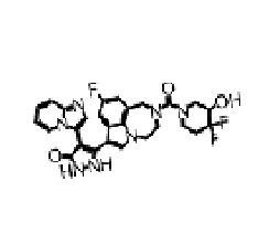 O=C(N1CCn2cc(-c3[nH][nH]c(=O)c3-c3cnc4ccccn34)c3cc(F)cc(c32)C1)N1CCC(F)(F)C(O)C1